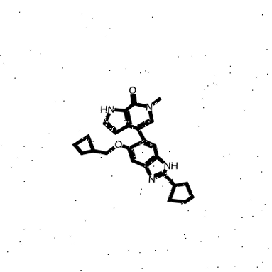 Cn1cc(-c2cc3[nH]c(C4CCCC4)nc3cc2OCC2CCC2)c2cc[nH]c2c1=O